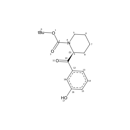 CC(C)(C)OC(=O)N1CCCC[C@H]1C(=O)c1cccc(O)c1